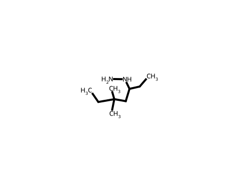 CCC(CC(C)(C)CC)NN